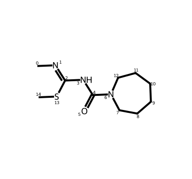 CN=C(NC(=O)N1CCCCCC1)SC